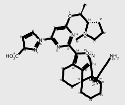 C[C@H](Oc1cc([N+]2=NC(C(=O)O)C=C2)nc(-c2onc3c2CCC[C@@]32CCCc3sc(N)c(C#N)c32)n1)[C@@H]1CCCN1C